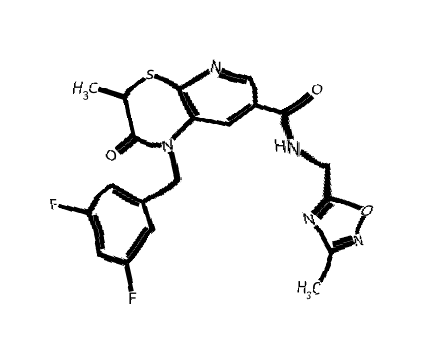 Cc1noc(CNC(=O)c2cnc3c(c2)N(Cc2cc(F)cc(F)c2)C(=O)C(C)S3)n1